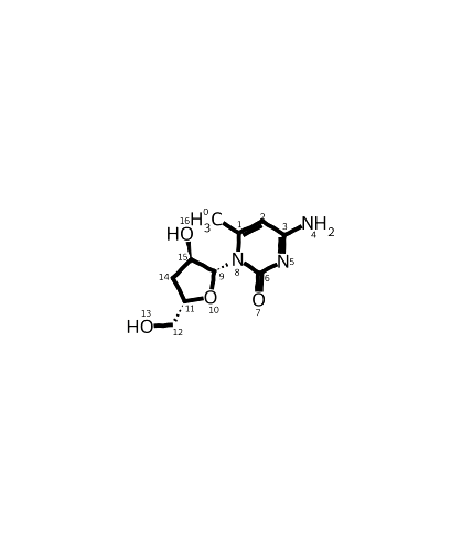 Cc1cc(N)nc(=O)n1[C@@H]1O[C@H](CO)C[C@H]1O